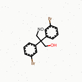 O=NCC(CO)(c1cccc(Br)c1)c1cccc(Br)c1